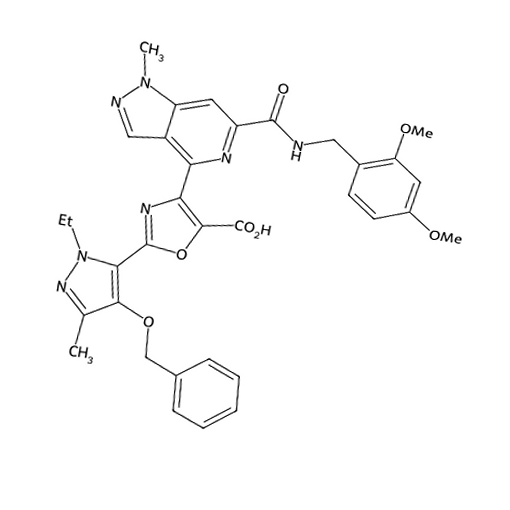 CCn1nc(C)c(OCc2ccccc2)c1-c1nc(-c2nc(C(=O)NCc3ccc(OC)cc3OC)cc3c2cnn3C)c(C(=O)O)o1